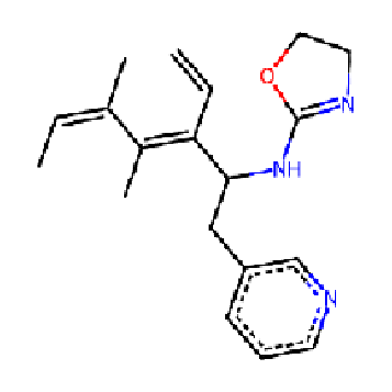 C=C/C(=C(C)\C(C)=C/C)C(Cc1cccnc1)NC1=NCCO1